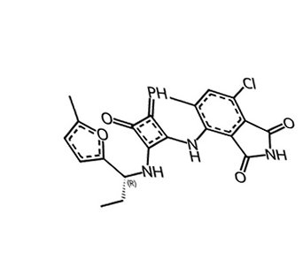 CC[C@@H](Nc1c(Nc2c(C)cc(Cl)c3c2C(=O)NC3=O)c(=P)c1=O)c1ccc(C)o1